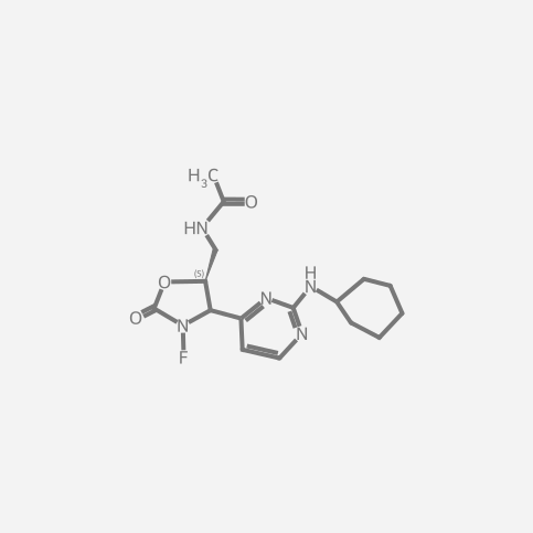 CC(=O)NC[C@@H]1OC(=O)N(F)C1c1ccnc(NC2CCCCC2)n1